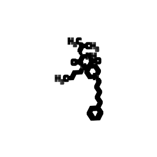 CCCCN1C(=O)[C@H](CC(C)C)NC(=O)C12CCN(CCCCCc1ccccc1)CC2